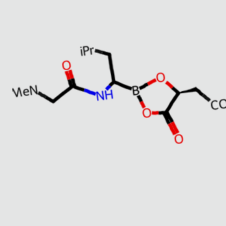 CNCC(=O)NC(CC(C)C)B1OC(=O)[C@H](CC(=O)O)O1